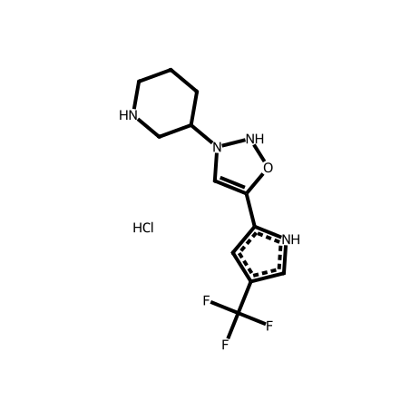 Cl.FC(F)(F)c1c[nH]c(C2=CN(C3CCCNC3)NO2)c1